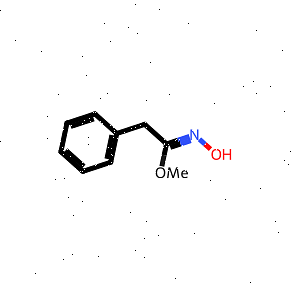 CO/C(Cc1ccccc1)=N\O